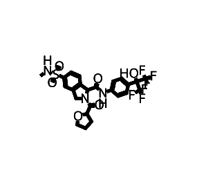 CNS(=O)(=O)c1ccc2c(c1)CN(C(=O)C1CCCO1)C2C(=O)Nc1ccc(C(O)(C(F)(F)F)C(F)(F)F)cc1